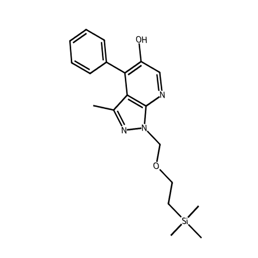 Cc1nn(COCC[Si](C)(C)C)c2ncc(O)c(-c3ccccc3)c12